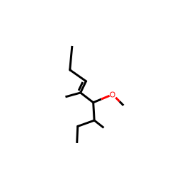 CC/C=C(\C)C(OC)C(C)CC